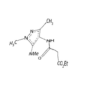 CCOC(=O)CC(=O)Nc1c(C)nn(C)c1NC